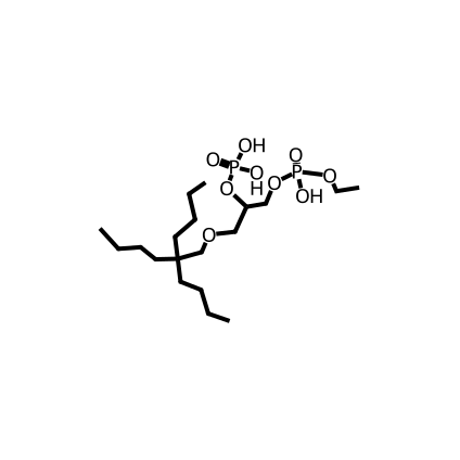 CCCCC(CCCC)(CCCC)COCC(COP(=O)(O)OCC)OP(=O)(O)O